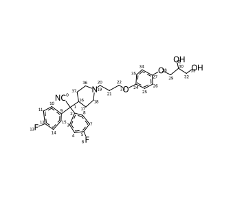 N#CC(c1ccc(F)cc1)(c1ccc(F)cc1)C1CCN(CCCOc2ccc(OCC(O)CO)cc2)CC1